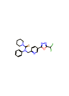 FC(F)c1nnc(-c2ccc(CN(C(=S)N3CCCCC3)c3ccccc3)nc2)o1